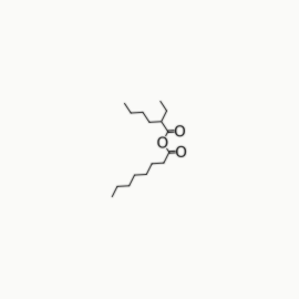 CCCCCCCC(=O)OC(=O)C(CC)CCCC